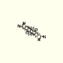 N#CC(C#N)=Cc1ccc2[nH]c3cc4c(=O)c5cc(C=C(C#N)C#N)ccc5[nH]c4cc3c(=O)c2c1